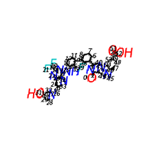 COc1nc(-c2cccc(-c3cccc(Nc4nc(C(F)F)nc5cc(CN6CC[C@@H](O)C6)cnc45)c3C)c2F)cnc1CN(C)C1CCC(C(=O)O)CC1